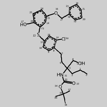 CCCC(CO)(CCc1ccc(Sc2cc(OCc3ccccc3)ccc2O)cc1Cl)NC(=O)OC(C)(C)C